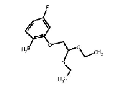 Bc1ccc(F)cc1OCC(OCC)OCC